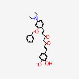 CCN(CC)c1ccc(C=CC(=O)CC(=O)C=Cc2ccc(OC)c(O)c2)c(OCc2ccccc2)c1